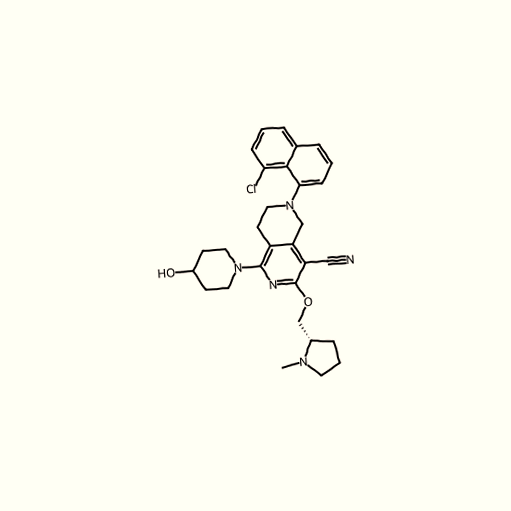 CN1CCC[C@H]1COc1nc(N2CCC(O)CC2)c2c(c1C#N)CN(c1cccc3cccc(Cl)c13)CC2